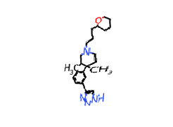 CC1CN(CCCC2CCCCO2)CCC1(C)c1cccc(-c2c[nH]nn2)c1